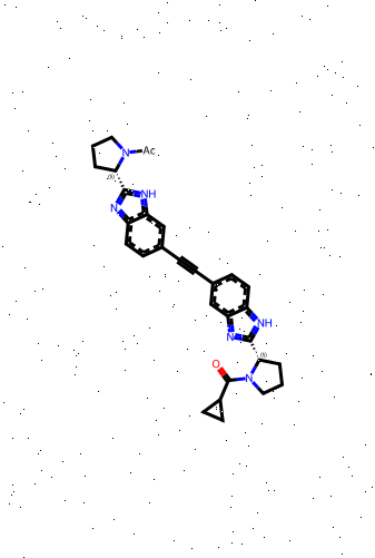 CC(=O)N1CCC[C@H]1c1nc2ccc(C#Cc3ccc4[nH]c([C@@H]5CCCN5C(=O)C5CC5)nc4c3)cc2[nH]1